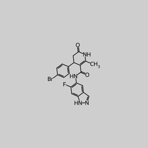 CC1=C(C(=O)Nc2cc3cn[nH]c3cc2F)C(c2ccc(Br)cc2)CC(=O)N1